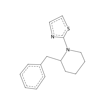 c1ccc(CC2CCCCN2c2nccs2)cc1